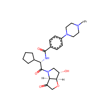 CCCN1CCN(c2ccc(C(=O)N[C@H](C(=O)N3C[C@H](O)[C@H]4OCC(=O)[C@H]43)C3CCCC3)cc2)CC1